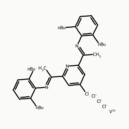 CCCCc1cccc(CCCC)c1N=C(C)c1cc(Cl)cc(C(C)=Nc2c(CCCC)cccc2CCCC)n1.[Cl-].[Cl-].[Cl-].[V+3]